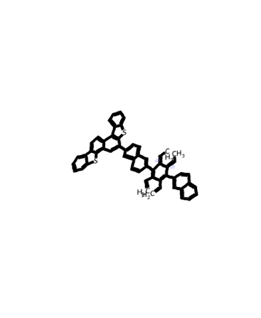 C=Cc1c(C=C)c(-c2ccc3cc(-c4cc5c(ccc6c7ccccc7sc65)c5c4sc4ccccc45)ccc3c2)c(=C/C)/c(=C\C)c1-c1ccc2ccccc2c1